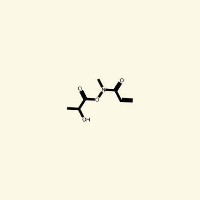 C=CC(=O)N(C)OC(=O)C(C)O